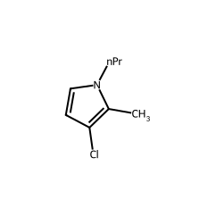 CCCn1ccc(Cl)c1C